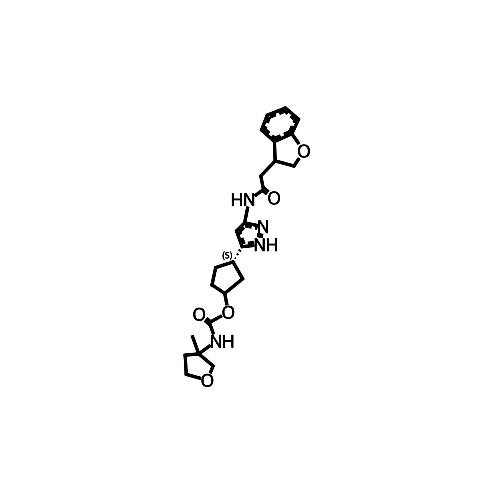 CC1(NC(=O)OC2CC[C@H](c3cc(NC(=O)CC4COc5ccccc54)n[nH]3)C2)CCOC1